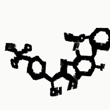 CCS(=O)(=O)c1ccc(C(O)c2nc3c(F)c(-c4ccccc4OC)c(F)cc3[nH]2)cc1